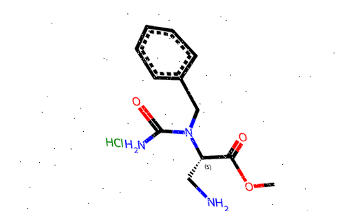 COC(=O)[C@H](CN)N(Cc1ccccc1)C(N)=O.Cl